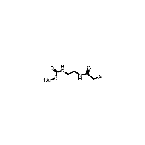 CC(=O)CC(=O)NCCNC(=O)OC(C)(C)C